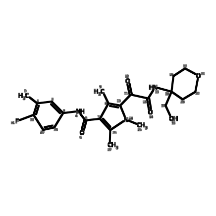 Cc1cc(NC(=O)c2c(C)c(C(=O)C(=O)NC3(CO)CCOCC3)n(C)c2C)ccc1F